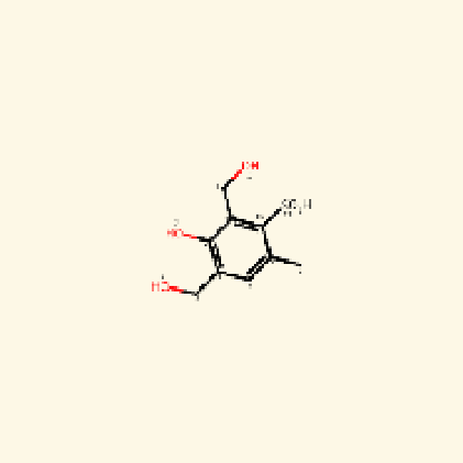 Cc1cc(CO)c(O)c(CO)c1S(=O)(=O)O